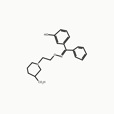 O=C(O)C1CCCN(CCO/N=C(/c2ccccc2)c2cccc(O)c2)C1